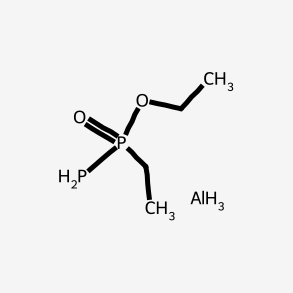 CCOP(=O)(P)CC.[AlH3]